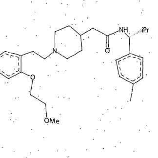 COCCOc1ccccc1CCN1CCC(CC(=O)N[C@@H](c2ccc(C)cc2)C(C)C)CC1